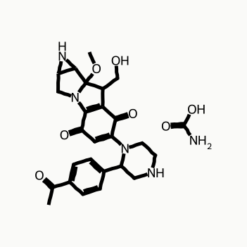 COC12C(CO)C3=C(C(=O)C=C(N4CCNCC4c4ccc(C(C)=O)cc4)C3=O)N1CC1NC12.NC(=O)O